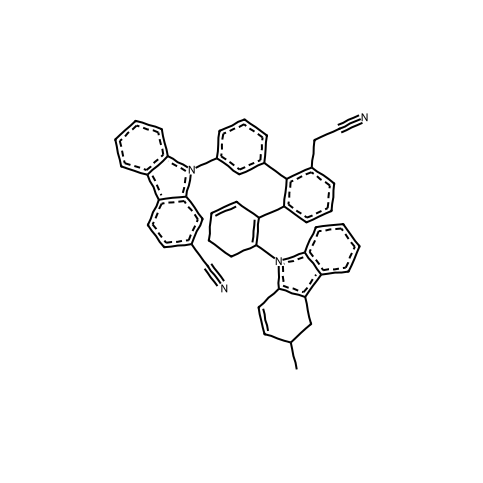 CC1C=Cc2c(c3ccccc3n2C2=C(c3cccc(CC#N)c3-c3cccc(-n4c5ccccc5c5ccc(C#N)cc54)c3)C=CCC2)C1